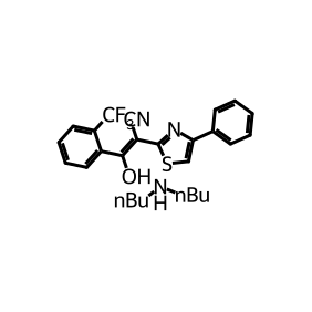 CCCCNCCCC.N#CC(=C(O)c1ccccc1C(F)(F)F)c1nc(-c2ccccc2)cs1